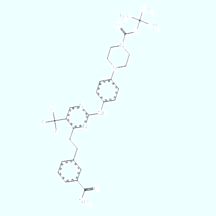 CC(C)(C)OC(=O)N1CCN(c2ccc(Nc3ncc(C(F)(F)F)c(CCc4cccc(C(N)=O)c4)n3)cc2)CC1